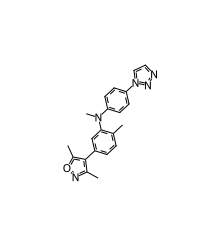 Cc1ccc(-c2c(C)noc2C)cc1N(C)c1ccc(-n2ccnn2)cc1